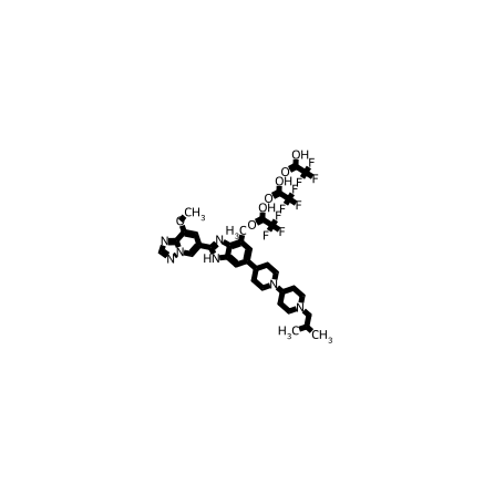 COc1cc(-c2nc3c(C)cc(C4CCN(C5CCN(CC(C)C)CC5)CC4)cc3[nH]2)cn2ncnc12.O=C(O)C(F)(F)F.O=C(O)C(F)(F)F.O=C(O)C(F)(F)F